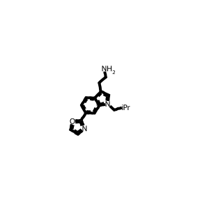 CC(C)Cn1cc(CCN)c2ccc(-c3ncco3)cc21